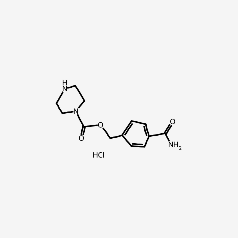 Cl.NC(=O)c1ccc(COC(=O)N2CCNCC2)cc1